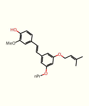 CCCOc1cc(/C=C/c2ccc(O)c(OC)c2)cc(OCC=C(C)C)c1